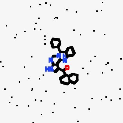 O=C(c1cccc2ccccc12)c1c[nH]c2ncnc(Nc3ccccc3Cc3ccccc3)c12